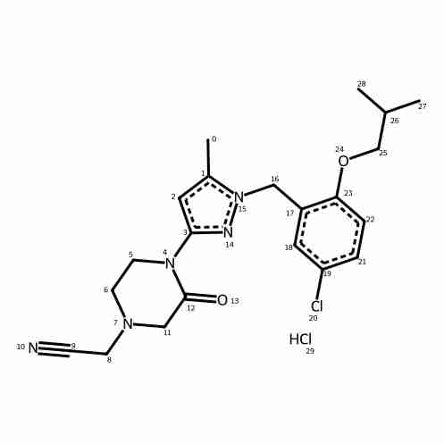 Cc1cc(N2CCN(CC#N)CC2=O)nn1Cc1cc(Cl)ccc1OCC(C)C.Cl